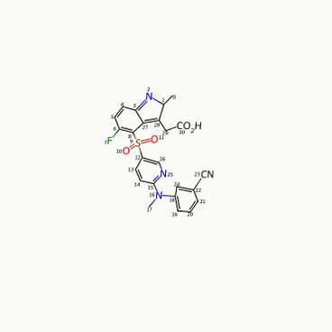 CC1N=c2ccc(F)c(S(=O)(=O)c3ccc(N(C)c4cccc(C#N)c4)nc3)c2=C1CC(=O)O